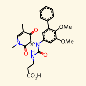 COc1cc(N(C(=O)NCCC(=O)O)[C@H]2C(=O)C(C)=CN(C)C2=O)cc(-c2ccccc2)c1OC